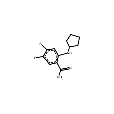 NC(=O)c1cc(F)c(F)cc1NC1CCCC1